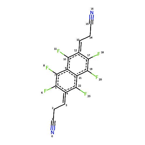 N#CCC=c1c(F)c(F)c2c(F)c(=CCC#N)c(F)c(F)c2c1F